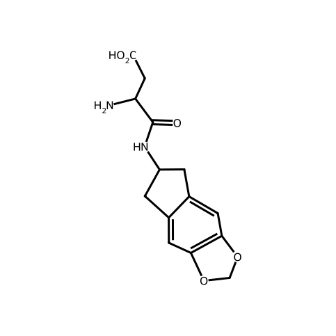 NC(CC(=O)O)C(=O)NC1Cc2cc3c(cc2C1)OCO3